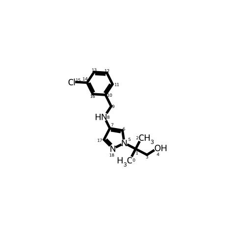 CC(C)(CO)n1cc(NCc2cccc(Cl)c2)cn1